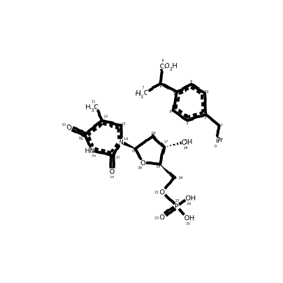 CC(C)Cc1ccc(C(C)C(=O)O)cc1.Cc1cn([C@H]2C[C@H](O)[C@@H](COP(=O)(O)O)O2)c(=O)[nH]c1=O